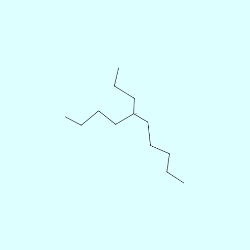 CCCCC[C](CCC)CCCC